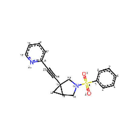 O=S(=O)(c1ccccc1)N1CC2CC2(C#Cc2ccccn2)C1